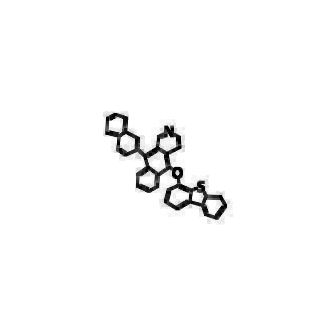 c1ccc2cc(-c3c4ccccc4c(Oc4cccc5c4sc4ccccc45)c4ccncc34)ccc2c1